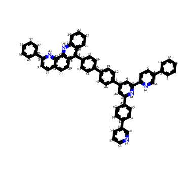 c1ccc(-c2ccc(-c3cc(-c4ccc(-c5ccc(-c6c7ccccc7nc7c6ccc6ccc(-c8ccccc8)nc67)cc5)cc4)cc(-c4ccc(-c5cccnc5)cc4)n3)nc2)cc1